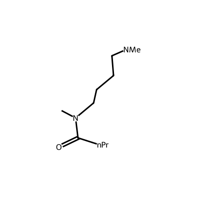 CCCC(=O)N(C)CCCCNC